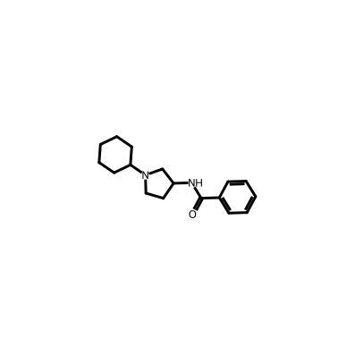 O=C(NC1CCN(C2CCCCC2)C1)c1ccccc1